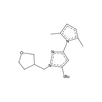 Cc1ccc(C)n1-c1cc(C(C)(C)C)n(CC2CCOC2)n1